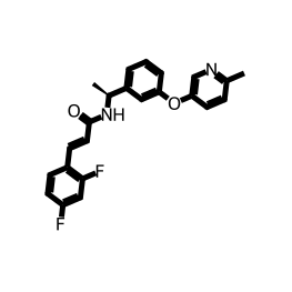 Cc1ccc(Oc2cccc([C@H](C)NC(=O)/C=C/c3ccc(F)cc3F)c2)cn1